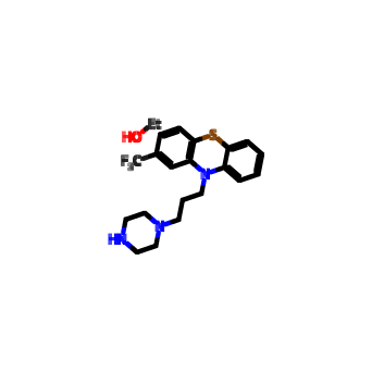 CCO.FC(F)(F)c1ccc2c(c1)N(CCCN1CCNCC1)c1ccccc1S2